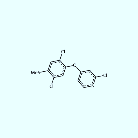 CSc1cc(Cl)c(Oc2ccnc(Cl)c2)cc1Cl